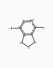 Cc1ncc(F)c2c1CCC2